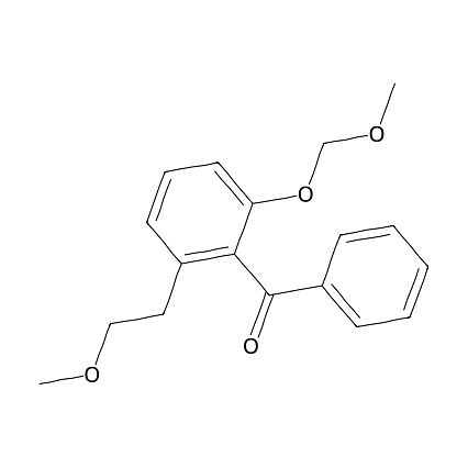 COCCc1cccc(OCOC)c1C(=O)c1ccccc1